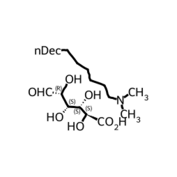 CCCCCCCCCCCCCCCCN(C)C.O=C[C@H](O)[C@@H](O)[C@H](O)[C@H](O)C(=O)O